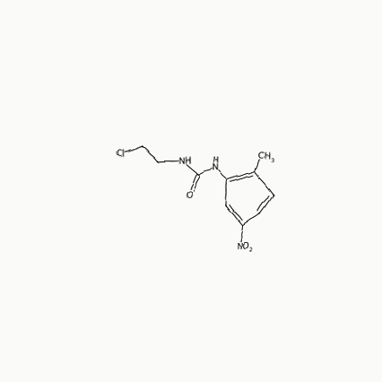 Cc1ccc([N+](=O)[O-])cc1NC(=O)NCCCl